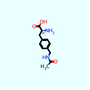 CC(=O)NCc1ccc(C[C@H](N)C(=O)O)cc1